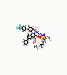 CC(=O)Nc1nc(C)c(S(=O)(=O)NCCN(C(=O)c2ccc(-c3ccc(C(F)(F)F)cc3)cc2)[C@@H](Cc2ccc(-c3ccccc3)cc2)C(=O)C(C)O)s1